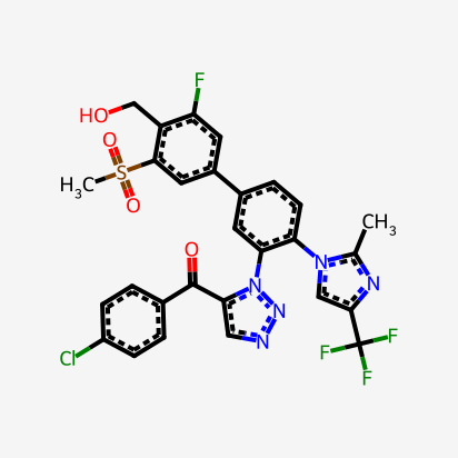 Cc1nc(C(F)(F)F)cn1-c1ccc(-c2cc(F)c(CO)c(S(C)(=O)=O)c2)cc1-n1nncc1C(=O)c1ccc(Cl)cc1